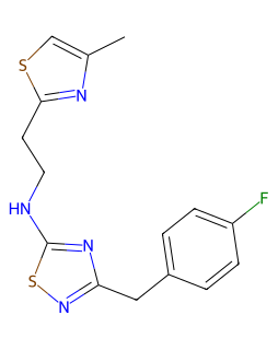 Cc1csc(CCNc2nc(Cc3ccc(F)cc3)ns2)n1